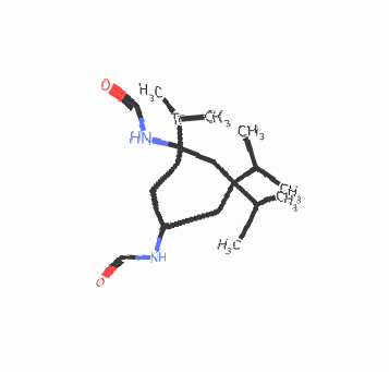 CC(C)C1(C(C)C)CC(NC=O)C[C](NC=O)([Ti]([CH3])[CH3])C1